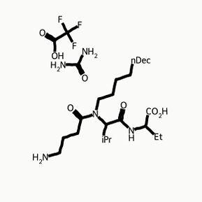 CCCCCCCCCCCCCCN(C(=O)CCCN)C(C(=O)NC(CC)C(=O)O)C(C)C.NC(N)=O.O=C(O)C(F)(F)F